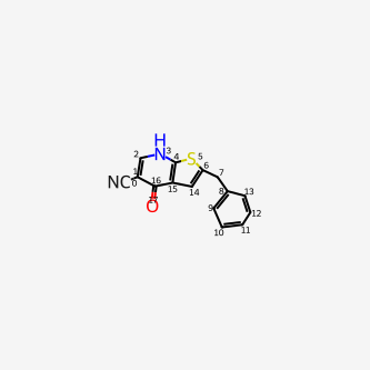 N#Cc1c[nH]c2sc(Cc3ccccc3)cc2c1=O